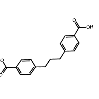 O=C(O)c1ccc(CCCc2ccc(C(=O)O)cc2)cc1